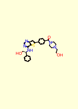 O=C(c1ccc(-c2cc3ncnc(N[C@H](CO)c4ccccc4)c3s2)cc1)N1CCN(CCO)CC1